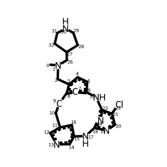 CN(Cc1ccc2cc1CCc1cncc(c1)Nc1ncc(Cl)c(n1)N2)CC1CCNCC1